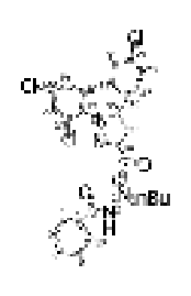 CCCCN(NC(=O)c1ccccc1)OC(=O)C1=NN(c2ccc(Cl)cc2Cl)C(c2ccc(Cl)cc2)C1